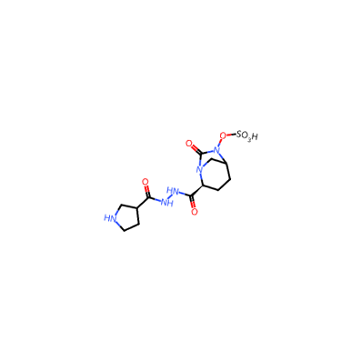 O=C(NNC(=O)[C@@H]1CCC2CN1C(=O)N2OS(=O)(=O)O)C1CCNC1